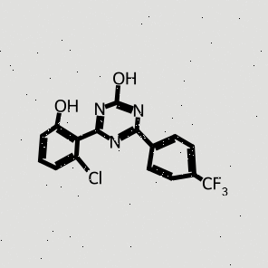 Oc1nc(-c2ccc(C(F)(F)F)cc2)nc(-c2c(O)cccc2Cl)n1